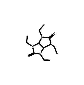 C=C1N(CC)C2C(N1CC)N(CC)C(=O)N2CC